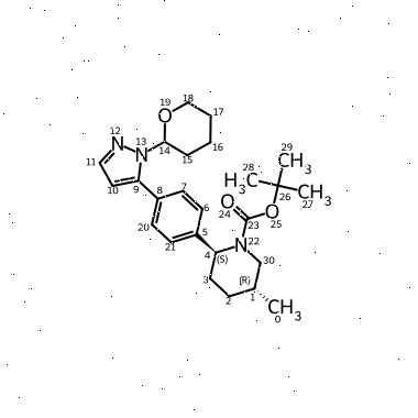 C[C@@H]1CC[C@@H](c2ccc(-c3ccnn3C3CCCCO3)cc2)N(C(=O)OC(C)(C)C)C1